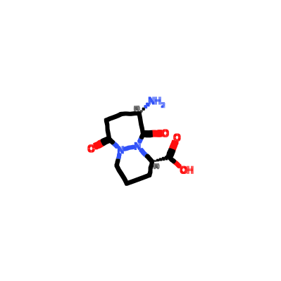 N[C@H]1CCC(=O)N2CCC[C@@H](C(=O)O)N2C1=O